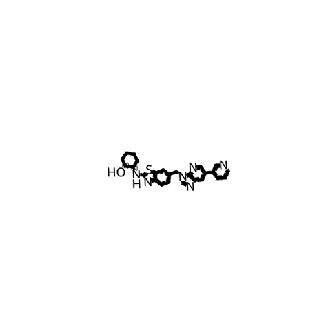 O[C@@H]1CCCC[C@H]1Nc1nc2ccc(Cn3cnc4cc(-c5cccnc5)cnc43)cc2s1